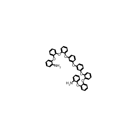 Nc1ccccc1Oc1ccccc1Oc1ccccc1Oc1cccc(Oc2cccc(Oc3ccccc3Oc3ccccc3Oc3ccccc3N)c2)c1